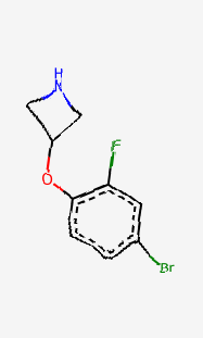 Fc1cc(Br)ccc1OC1CNC1